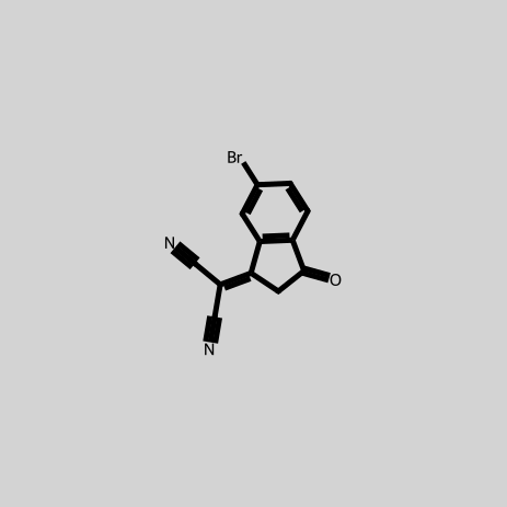 N#CC(C#N)=C1CC(=O)c2ccc(Br)cc21